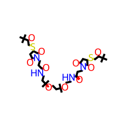 CC(C)(CCNC(=O)CCN1C(=O)CC(SCC(=O)C(C)(C)C)C1=O)OCCC(C)(C)OCCNC(=O)CCN1C(=O)CC(SCC(=O)C(C)(C)C)C1=O